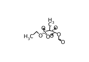 CCOS(=O)(=O)C(C)S(=O)(=O)OC=O